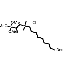 CCCCCCCCCCCCCCCCCC[N+](C)(C)CC(C)[Si](OC)(OC)OC.[Cl-]